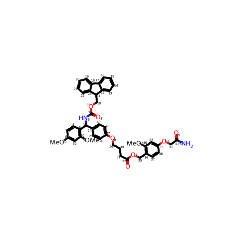 COc1ccc(C(NC(=O)OCC2c3ccccc3-c3ccccc32)c2ccc(OCCCC(=O)OCc3ccc(OCC(N)=O)cc3OC)cc2)c(OC)c1